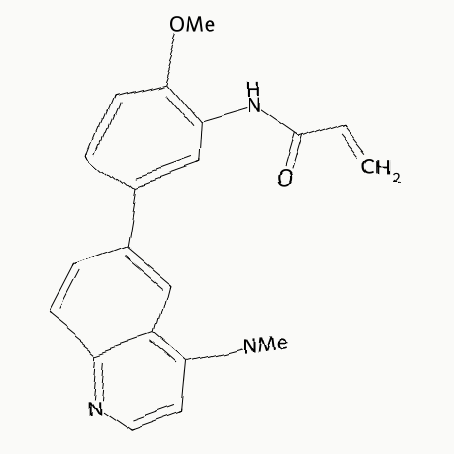 C=CC(=O)Nc1cc(-c2ccc3nccc(NC)c3c2)ccc1OC